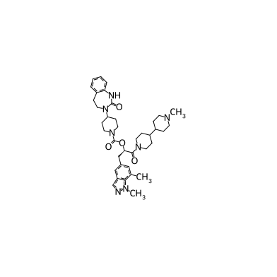 Cc1cc(C[C@@H](OC(=O)N2CCC(N3CCc4ccccc4NC3=O)CC2)C(=O)N2CCC(C3CCN(C)CC3)CC2)cc2cnn(C)c12